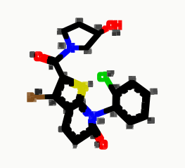 O=C(c1sc2c(ccc(=O)n2-c2ccccc2Cl)c1Br)N1CC[C@@H](O)C1